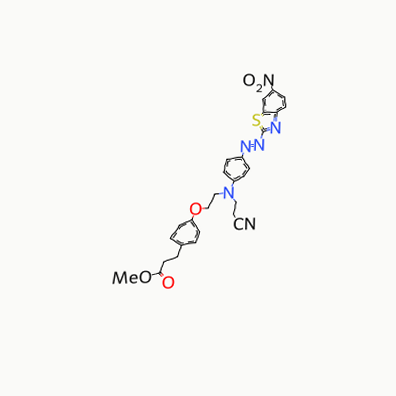 COC(=O)CCc1ccc(OCCN(CCC#N)c2ccc(N=Nc3nc4ccc([N+](=O)[O-])cc4s3)cc2)cc1